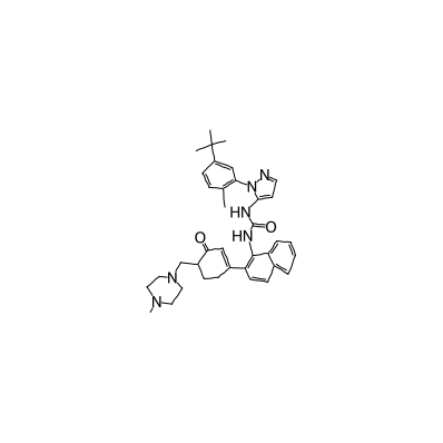 Cc1ccc(C(C)(C)C)cc1-n1nccc1NC(=O)Nc1c(C2=CC(=O)C(CN3CCN(C)CC3)CC2)ccc2ccccc12